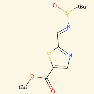 CC(C)(C)OC(=O)c1cnc(/C=N/[S+]([O-])C(C)(C)C)s1